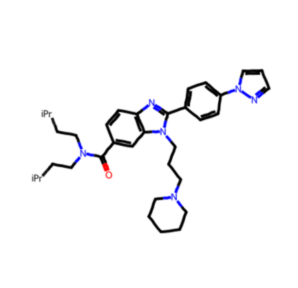 CC(C)CCN(CCC(C)C)C(=O)c1ccc2nc(-c3ccc(-n4cccn4)cc3)n(CCCN3CCCCC3)c2c1